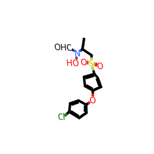 CC(CS(=O)(=O)c1ccc(Oc2ccc(Cl)cc2)cc1)N(O)C=O